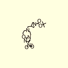 CC(C)(C)OC(=O)N1CC(CN2CCOc3nc([N+](=O)[O-])cn3CC2)C1